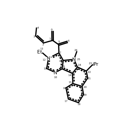 C=C(/C=C\C)C(=C)c1c2c(nc[n+]1CC)c1c3ccccc3cc(C(C)C)c1n2C